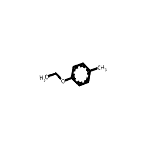 CCOc1c[c]c(C)cc1